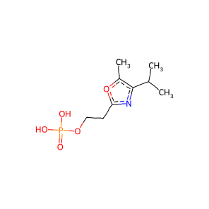 Cc1oc(CCOP(=O)(O)O)nc1C(C)C